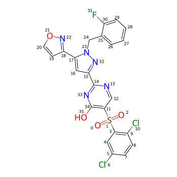 O=S(=O)(c1cc(Cl)ccc1Cl)c1cnc(-c2cc(-c3ccon3)n(Cc3ccccc3F)n2)nc1O